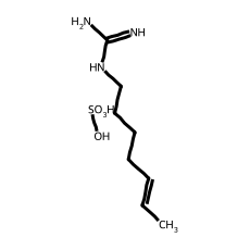 C/C=C/CCCCNC(=N)N.O=S(=O)(O)O